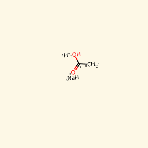 [CH2]C(=O)O.[H+].[NaH]